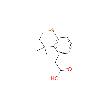 CC1(C)CCSc2cccc(CC(=O)O)c21